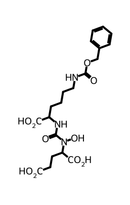 O=C(O)CCC(C(=O)O)N(O)C(=O)NC(CCCCNC(=O)OCc1ccccc1)C(=O)O